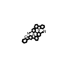 N#Cc1cccc(-c2cccc(C#N)c2-n2c3ccccc3c3cc4c(cc32)oc2ccccc24)c1-n1c2ccccc2c2ccccc21